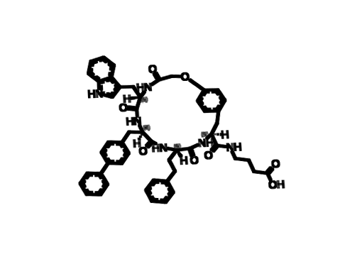 O=C(O)CCCNC(=O)[C@@H]1Cc2ccc(cc2)OCC(=O)N[C@@H](Cc2c[nH]c3ccccc23)C(=O)N[C@H](Cc2ccc(-c3ccccc3)cc2)C(=O)N[C@@H](CCc2ccccc2)C(=O)N1